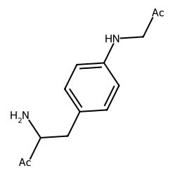 CC(=O)CNc1ccc(CC(N)C(C)=O)cc1